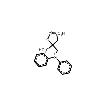 CC(C)(C)OC(CC(=O)O)(C[SiH](c1ccccc1)c1ccccc1)C(=O)O